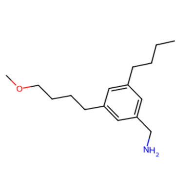 CCCCc1cc(CN)cc(CCCCOC)c1